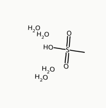 CS(=O)(=O)O.O.O.O.O